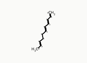 C=CC=CC=CCCC=CC